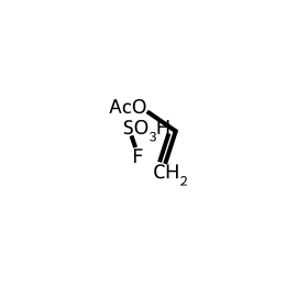 C=COC(C)=O.O=S(=O)(O)F